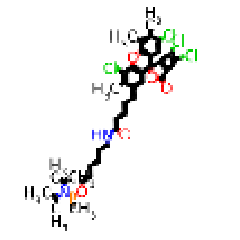 Cc1c(Cl)cc2c(c1C)Oc1c(cc(CCCCC(=O)NCCCCCCOP(C)N(C(C)C)C(C)C)c(C)c1Cl)C21OC(=O)c2cc(Cl)c(Cl)cc21